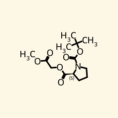 COC(=O)COC(=O)[C@@H]1CCCN1C(=O)OC(C)(C)C